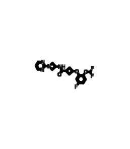 O=C(NC1CN(c2ncccn2)C1)C1CC(Oc2cc(F)ccc2OC(F)F)C1